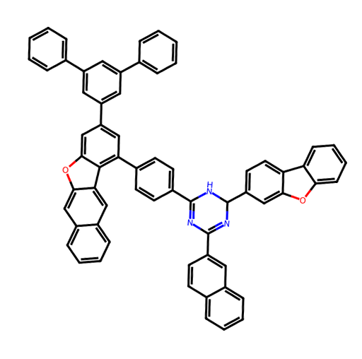 c1ccc(-c2cc(-c3ccccc3)cc(-c3cc(-c4ccc(C5=NC(c6ccc7ccccc7c6)=NC(c6ccc7c(c6)oc6ccccc67)N5)cc4)c4c(c3)oc3cc5ccccc5cc34)c2)cc1